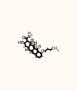 CCCCOc1cccc2c1C(=O)C1=C(O)[C@]3(O)C(=O)C(C(N)=O)C(O)C[C@@H]3C[C@@H]1C2